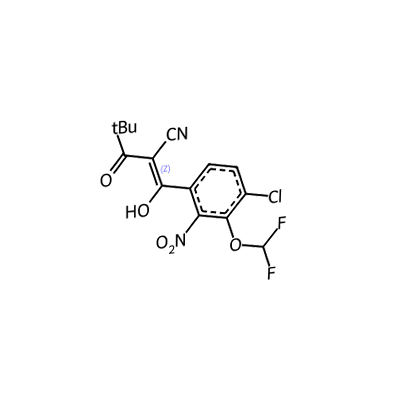 CC(C)(C)C(=O)/C(C#N)=C(\O)c1ccc(Cl)c(OC(F)F)c1[N+](=O)[O-]